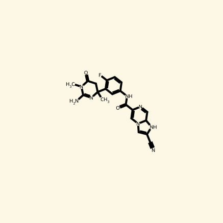 CN1C(=O)CC(C)(c2cc(NC(=O)C3=CN4C=C(C#N)NC4C=N3)ccc2F)N=C1N